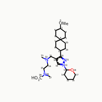 COC1CCC2(CC1)CCC(c1nn(C3CCCCO3)cc1CN(C)CCN(C)C(=O)O)CC2